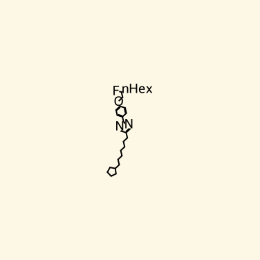 CCCCCC[C@@H](F)COc1ccc(-c2ncc(CCCCCCCC3CCCC3)cn2)cc1